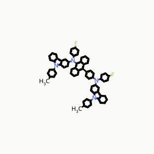 Cc1ccc(-n2c3ccccc3c3cc(N(c4ccc(F)cc4)c4ccc(-c5c6ccccc6c(N(c6ccc(F)cc6)c6ccc7c(c6)c6ccccc6n7-c6ccc(C)cc6)c6ccccc56)cc4)ccc32)cc1